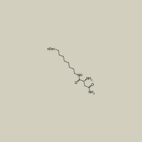 CCCCCCCCCCCCCCCCCCNC(=O)[C@@H](N)CC(N)=O